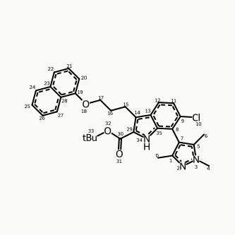 Cc1nn(C)c(C)c1-c1c(Cl)ccc2c(CCCOc3cccc4ccccc34)c(C(=O)OC(C)(C)C)[nH]c12